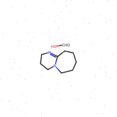 C1CCC2=NCCCN2CC1.O=CO